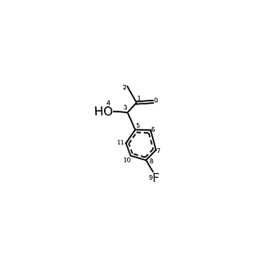 C=C(C)C(O)c1ccc(F)cc1